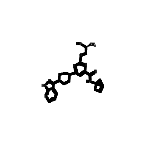 C[C@@H](O)COc1nc(C(=O)NC23CC=C2C3)cc(N2CCC(c3n[nH]c4ncccc34)CC2)n1